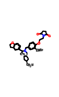 COc1cc(CN(C[C@H]2CC[C@H](C(=O)O)C2)[C@@H](C)c2ccc3c(c2)CCO3)ccc1OCCN1C(=O)CCC1=O